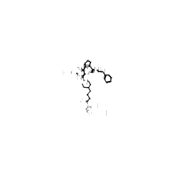 O=C(CCCC1CCN(c2cc(N3CCCC3C(=O)NCCc3ccccc3)nc(C(F)(F)F)n2)CC1)NCS(=O)(=O)O